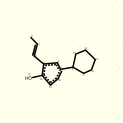 CC=Cc1cc(C2CCCCC2)ccc1O